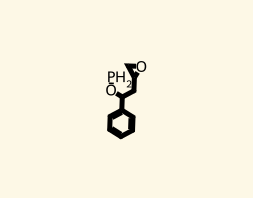 POC(CC1CO1)c1ccccc1